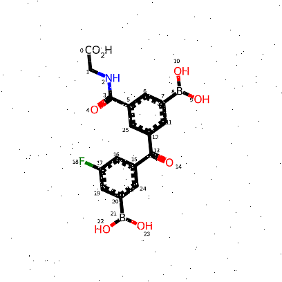 O=C(O)CNC(=O)c1cc(B(O)O)cc(C(=O)c2cc(F)cc(B(O)O)c2)c1